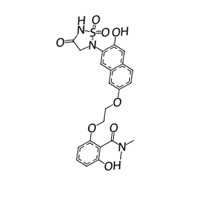 CN(C)C(=O)c1c(O)cccc1OCCOc1ccc2cc(O)c(N3CC(=O)NS3(=O)=O)cc2c1